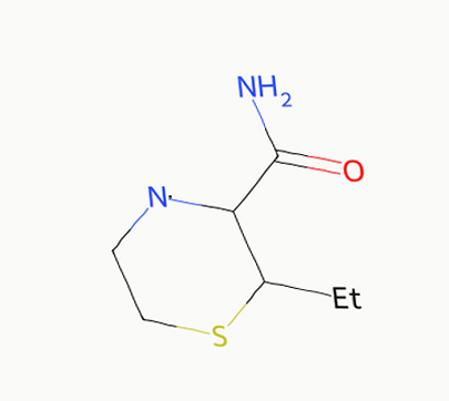 CCC1SCC[N]C1C(N)=O